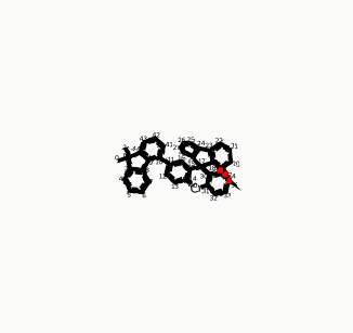 CC1(C)c2ccccc2-c2c(-c3ccc4c(c3)C3(c5ccccc5-c5ccccc53)c3c(ccc5ccccc35)O4)cccc21